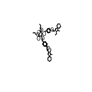 CCCOC(=O)[C@H](OCc1ccc(OC/C=C/C2(C(C)CCC)CCCCC2)cc1)[C@@H](OCc1ccc(OC/C=C/C2(C(C)CCC)CCCCC2)cc1)C(=O)OCCC